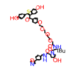 CC(C)(C)[C@H](NC(=O)COCCOCCOCCOc1ccc(C(=O)c2c(-c3ccc(O)cc3)sc3cc(O)ccc23)cc1)C(=O)N1CC(O)CC1C(=O)NCc1ccc(-c2cnco2)cc1